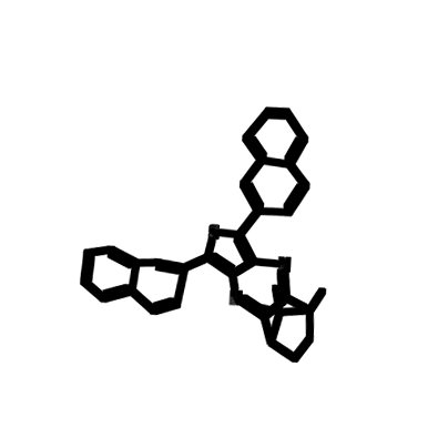 CC12CCC(c3nc4c(-c5ccc6ccccc6c5)sc(-c5ccc6ccccc6c5)c4nc31)C2(C)C